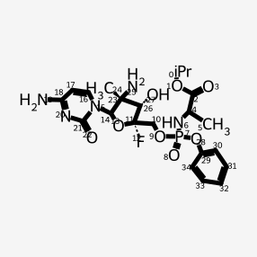 CC(C)OC(=O)C(C)NP(=O)(OC[C@@]1(F)OC(n2ccc(N)nc2=O)[C@](C)(N)[C@@H]1O)Oc1ccccc1